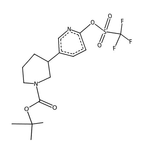 CC(C)(C)OC(=O)N1CCCC(c2ccc(OS(=O)(=O)C(F)(F)F)nc2)C1